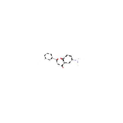 COc1cccc(-c2cc(=O)c3cc(N(C)C)ccc3o2)c1